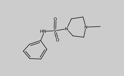 CN1CCN(S(=O)(=O)Nc2ccccc2)CC1